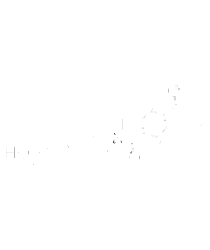 O=C(O)CCCCCNC(=O)c1ccc2c(c1)CCCC2=O